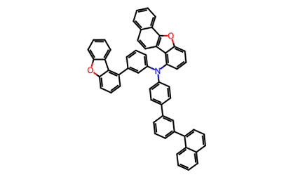 c1cc(-c2ccc(N(c3cccc(-c4cccc5oc6ccccc6c45)c3)c3cccc4oc5c6ccccc6ccc5c34)cc2)cc(-c2cccc3ccccc23)c1